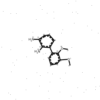 COc1cccc(-c2cccc(N)c2N)c1OC